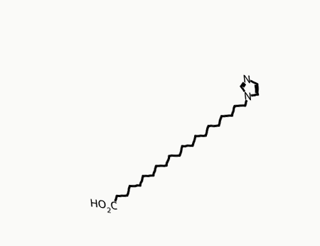 O=C(O)CCCCCCCCCCCCCCCCCCCCn1ccnc1